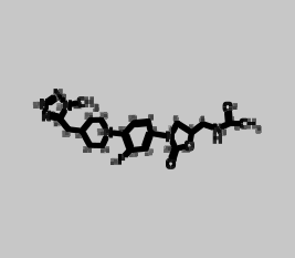 CC(=O)NCC1CN(c2ccc(N3CCC(Cc4nnnn4C)CC3)c(F)c2)C(=O)O1